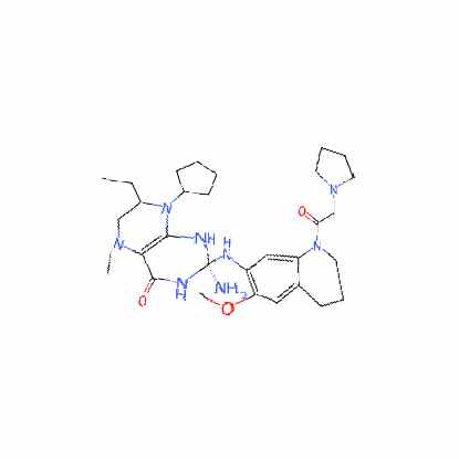 CCC1CN(C)C2=C(N[C@@](N)(Nc3cc4c(cc3OC)CCCN4C(=O)CN3CCCC3)NC2=O)N1C1CCCC1